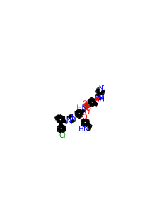 Cc1cc(S(=O)(=O)NC(=O)c2ccc(N3CCN(CC4=C(c5ccc(Cl)cc5)CC(C)(C)CC4)CC3)cc2Oc2ccc3[nH]ccc3c2)ccc1NCC1(N(C)C)CCN(C)CC1